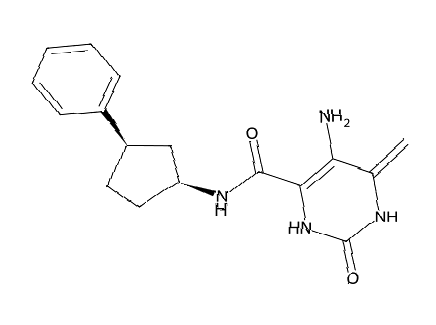 C=C1NC(=O)NC(C(=O)N[C@H]2CC[C@@H](c3ccccc3)C2)=C1N